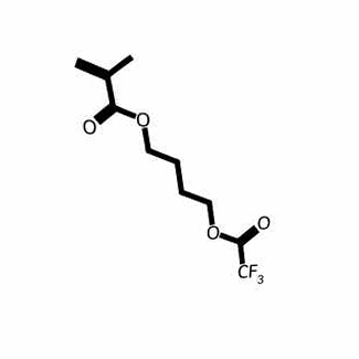 C=C(C)C(=O)OCCCCOC(=O)C(F)(F)F